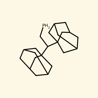 PCC(C12CC3CC(CC(C3)C1)C2)C12CC3CC(CC(C3)C1)C2